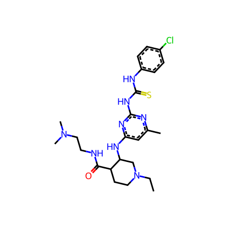 CCN1CCC(C(=O)NCCN(C)C)C(Nc2cc(C)nc(NC(=S)Nc3ccc(Cl)cc3)n2)C1